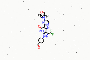 NC(=O)c1c(-c2cn(C3CCC(C=O)CC3)nc2C(F)F)nn2ccc(N3C[C@H]4C[C@@H]3CO4)nc12